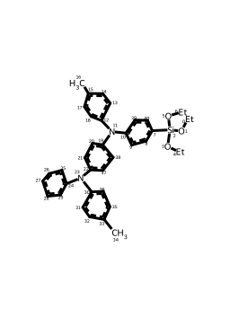 CCO[Si](OCC)(OCC)c1ccc(N(c2ccc(C)cc2)c2ccc(N(c3ccccc3)c3ccc(C)cc3)cc2)cc1